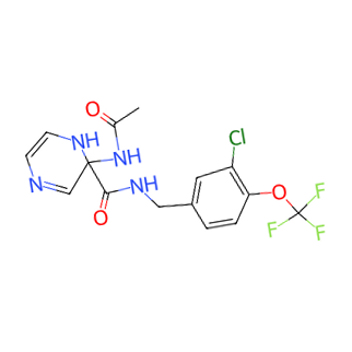 CC(=O)NC1(C(=O)NCc2ccc(OC(F)(F)F)c(Cl)c2)C=NC=CN1